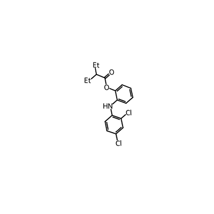 CCC(CC)C(=O)Oc1ccccc1Nc1ccc(Cl)cc1Cl